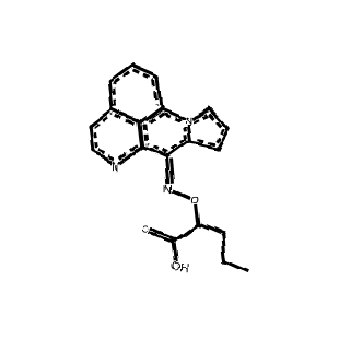 CCCC(O/N=c1/c2nccc3cccc(c32)n2cccc12)C(=O)O